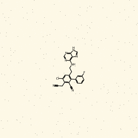 N#CCc1c(Cl)cc(CCNc2ncnc3[nH]cnc23)c(-c2cccc(F)c2)c1C#N